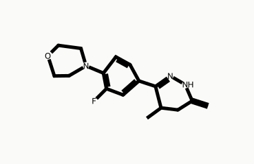 C=C1CC(C)C(c2ccc(N3CCOCC3)c(F)c2)=NN1